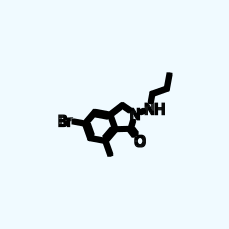 CCCNN1Cc2cc(Br)cc(C)c2C1=O